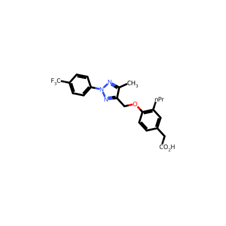 CCCc1cc(CC(=O)O)ccc1OCc1nn(-c2ccc(C(F)(F)F)cc2)nc1C